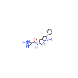 O=C(Nc1cnc2[nH]c(-c3ccccc3)cc2c1)c1cn[nH]n1